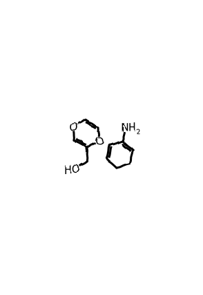 NC1=CCCC=C1.OCC1=COC=CO1